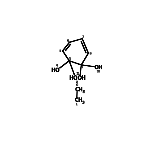 CC.OC1(O)C=CC=CC1(O)O